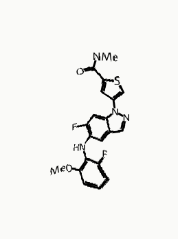 CNC(=O)c1cc(-n2ncc3cc(Nc4c(F)cccc4OC)c(F)cc32)cs1